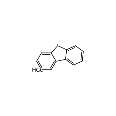 [CH]1C2=C[CH]=[GeH][CH]=C2c2ccccc21